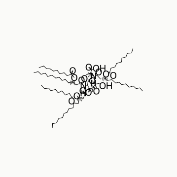 CCCCCCCCCCC[C@H](CC(=O)NC1[C@H](OC[C@H](NC(=O)C[C@@H](CCCCCCCCCCC)OC(=O)CCCCCCCCC)C(=O)O)OC(CO)[C@@H](OC)[C@@H]1OC(=O)C[C@@H](CCCCCCCCCCC)OC(=O)CCCCCCCCC)OC(=O)CCCCCCCCC